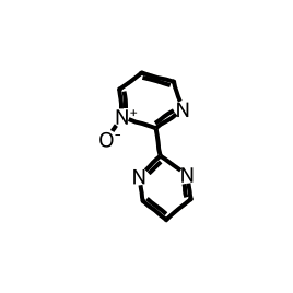 [O-][n+]1cccnc1-c1ncccn1